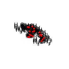 CC(C)(CCC(C)(C)OC(=O)OCC(CO[Si](C)(C)C(C)(C)C)C(C)(C)C)OCCC(C)(C)OCC(COC(C)(C)CCOC(C)(C)CCC(C)(C)OC(=O)OCC(CO[Si](C)(C)C(C)(C)C)C(C)(C)C)OC(C)(C)CCOC(C)(C)CC(=O)OC1Cc2ccccc2C#Cc2ccccc21